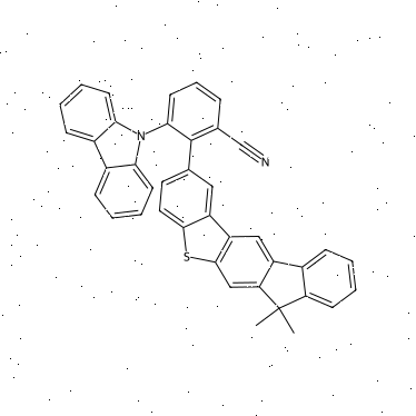 CC1(C)c2ccccc2-c2cc3c(cc21)sc1ccc(-c2c(C#N)cccc2-n2c4ccccc4c4ccccc42)cc13